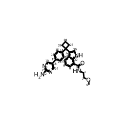 COCCNC(=O)c1cccc2c(C3(c4ccc(-c5cnc(N)nc5)cc4)CCC3)c[nH]c12